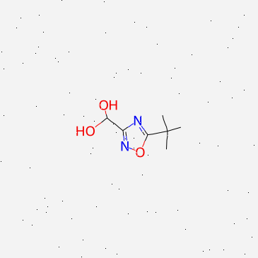 CC(C)(C)c1nc(C(O)O)no1